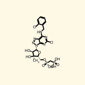 C[C@@]1(O)[C@@H](COP(=O)(O)CP(=O)(O)O)O[C@@H](n2nnc3c(NCc4ccccc4Cl)nc(Cl)nc32)[C@@H]1O